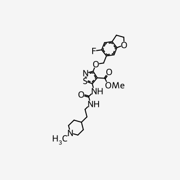 COC(=O)c1c(OCc2cc3c(cc2F)CCO3)nsc1NC(=O)NCCC1CCN(C)CC1